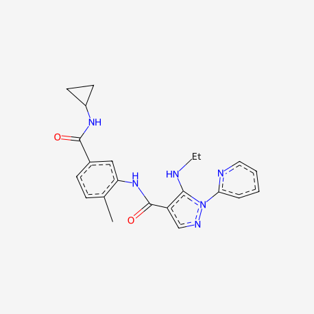 CCNc1c(C(=O)Nc2cc(C(=O)NC3CC3)ccc2C)cnn1-c1ccccn1